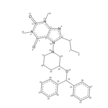 CCCc1nc2c(c(=O)n(C)c(=O)n2C)n1N1CCCC(OC(c2ccccc2)c2ccccc2)C1